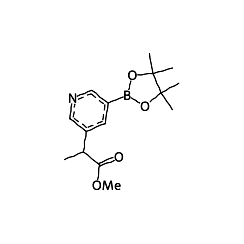 COC(=O)C(C)c1cncc(B2OC(C)(C)C(C)(C)O2)c1